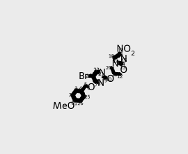 COc1ccc(COc2nc(OC3COc4nc([N+](=O)[O-])cn4C3)ncc2Br)cc1